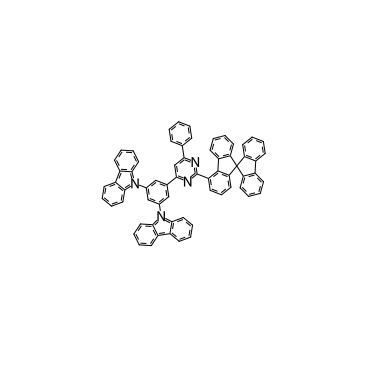 c1ccc(-c2cc(-c3cc(-n4c5ccccc5c5ccccc54)cc(-n4c5ccccc5c5ccccc54)c3)nc(-c3cccc4c3-c3ccccc3C43c4ccccc4-c4ccccc43)n2)cc1